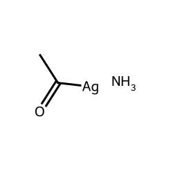 C[C](=O)[Ag].N